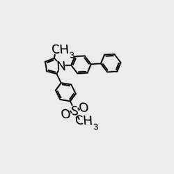 Cc1ccc(-c2ccc(S(C)(=O)=O)cc2)n1-c1ccc(-c2ccccc2)cc1